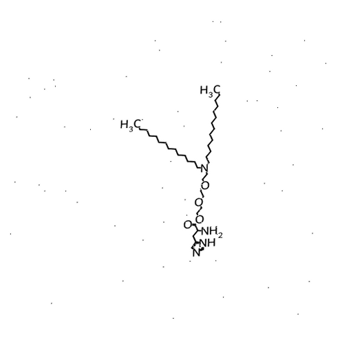 CCCCCCCCCCCCCCN(CCCCCCCCCCCCCC)CCOCCOCCOC(=O)C(N)Cc1cnc[nH]1